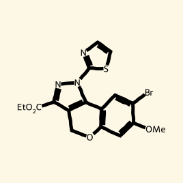 CCOC(=O)c1nn(-c2nccs2)c2c1COc1cc(OC)c(Br)cc1-2